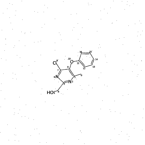 Cc1nc(CO)nc(Cl)c1Oc1ccccc1